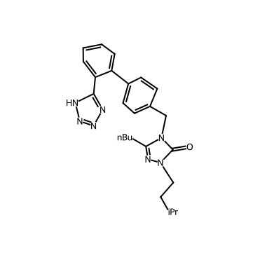 CCCCc1nn(CCC(C)C)c(=O)n1Cc1ccc(-c2ccccc2-c2nnn[nH]2)cc1